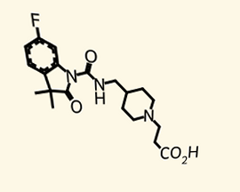 CC1(C)C(=O)N(C(=O)NCC2CCN(CCC(=O)O)CC2)c2cc(F)ccc21